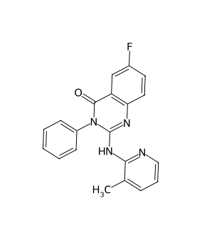 Cc1cccnc1Nc1nc2ccc(F)cc2c(=O)n1-c1ccccc1